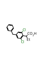 CCC(C(=O)O)c1c(Cl)cc(Cc2ccccc2)cc1Cl